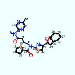 Cc1cnc(N(C)C(=O)CCCN(C(=O)c2cccs2)c2nc(-c3cc4ccccc4o3)cs2)cn1